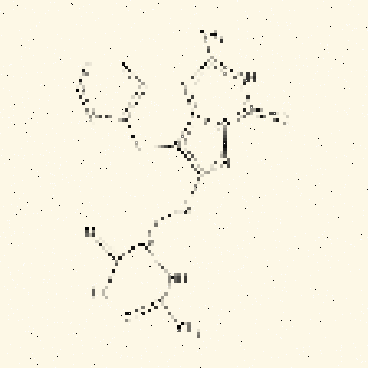 CC(=O)N[C@@H](CSc1nc2c(=O)[nH]c(N)nc2n1Cc1ccccc1)C(=O)O